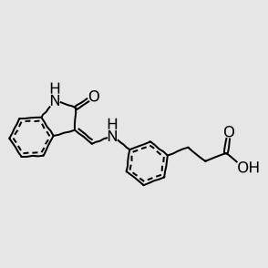 O=C(O)CCc1cccc(NC=C2C(=O)Nc3ccccc32)c1